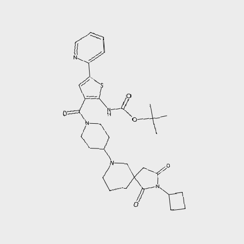 CC(C)(C)OC(=O)Nc1sc(-c2ccccn2)cc1C(=O)N1CCC(N2CCCC3(CC(=O)N(C4CCC4)C3=O)C2)CC1